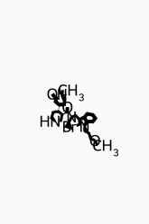 COCCCn1c(Br)c(CN(C(=O)[C@H]2CNCC[C@@H]2c2ccn(C)c(=O)c2)C2CC2)c2ccccc21